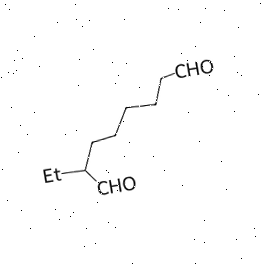 CCC(C=O)CCCCCC=O